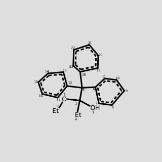 CCOC(O)(CC)C(c1ccccc1)(c1ccccc1)c1ccccc1